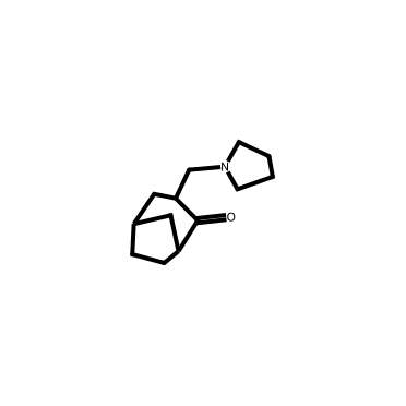 O=C1C2CCC(C2)CC1CN1CCCC1